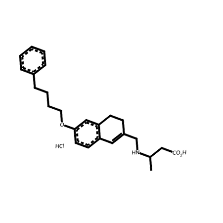 CC(CC(=O)O)NCC1=Cc2ccc(OCCCCc3ccccc3)cc2CC1.Cl